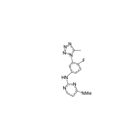 CNc1ccnc(Nc2ccc(F)c(-n3nnnc3C)c2)n1